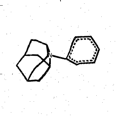 c1ccc(N2C3CC4CC(C3)CC2C4)cc1